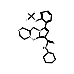 Cc1c(C(=O)NC2CCCCC2)cc(-c2ccccc2OC(F)(F)F)n1CC1COCCO1